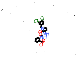 COC(=O)c1ccccc1NC(=O)Nc1cccn(Cc2ccc(Cl)c(Cl)c2)c1=O